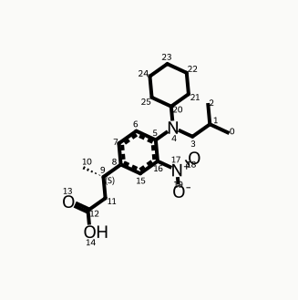 CC(C)CN(c1ccc([C@@H](C)CC(=O)O)cc1[N+](=O)[O-])C1CCCCC1